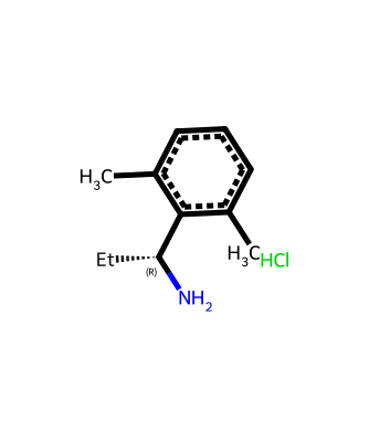 CC[C@@H](N)c1c(C)cccc1C.Cl